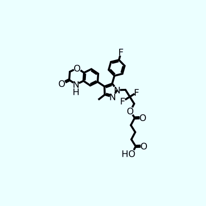 Cc1nn(CC(F)(F)COC(=O)CCCC(=O)O)c(-c2ccc(F)cc2)c1-c1ccc2c(c1)NC(=O)CO2